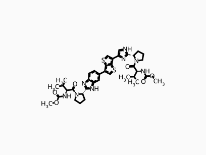 COC(=O)N[C@H](C(=O)N1CCC[C@H]1c1nc(-c2csc3c(-c4ccc5nc([C@@H]6CCCN6C(=O)[C@@H](NC(=O)OC)C(C)C)[nH]c5c4)csc23)c[nH]1)C(C)C